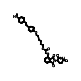 CNc1ccc(C=Cc2ccc(OCCCCCCOC(=O)COc3cccc4c3C(=O)N(C3CCC(=O)NC3=O)C4=O)cc2)cc1